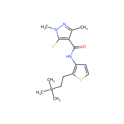 Cc1nn(C)c(F)c1C(=O)Nc1ccsc1CC[Si](C)(C)C